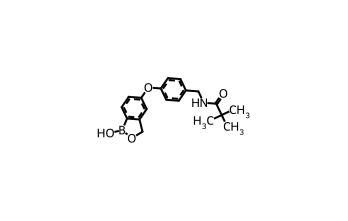 CC(C)(C)C(=O)NCc1ccc(Oc2ccc3c(c2)COB3O)cc1